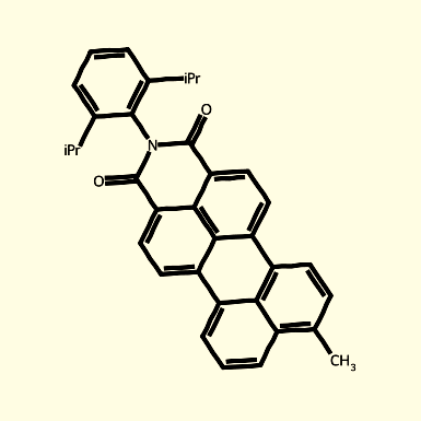 Cc1ccc2c3ccc4c5c(ccc(c6cccc1c62)c53)C(=O)N(c1c(C(C)C)cccc1C(C)C)C4=O